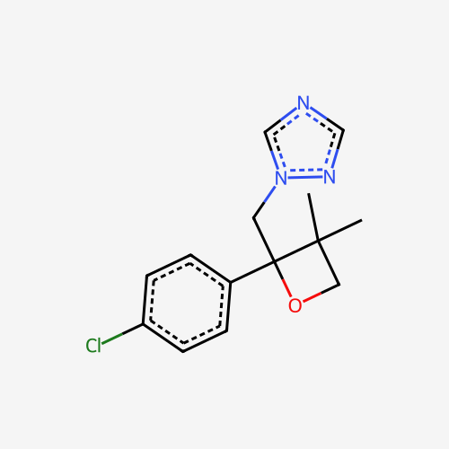 CC1(C)COC1(Cn1cncn1)c1ccc(Cl)cc1